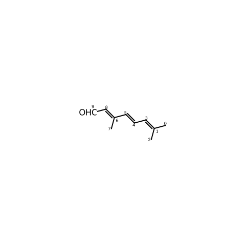 CC(C)=C/C=C/C(C)=C/C=O